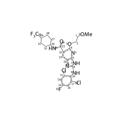 COCCOc1nc2[nH]c(Nc3c(Cl)cc(F)cc3Cl)nc2cc1C(=O)NC1CCC(C(F)(F)F)CC1